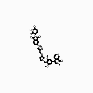 COc1cc(-c2cn(C)c(=O)c3cnccc23)cc(OC)c1CN1CCC(OCc2cn(-c3ccc4c(c3)C(=O)N(C3CCC(=O)NC3=O)C4=O)nn2)C1